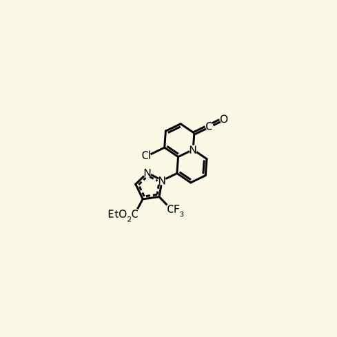 CCOC(=O)c1cnn(C2=CC=CN3C(=C=O)C=CC(Cl)=C23)c1C(F)(F)F